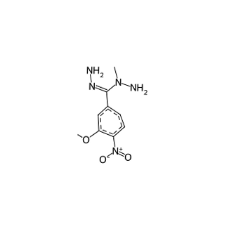 COc1cc(/C(=N/N)N(C)N)ccc1[N+](=O)[O-]